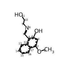 COc1cc(O)c(C=NCCO)c2ccccc12